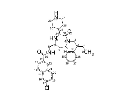 CC[C@H](CN1CC[C@@H](CNC(=O)c2ccc3cc(Cl)ccc3c2)N[C@@H](C2CCNCC2)C1=O)c1ccccc1